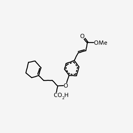 COC(=O)C=Cc1ccc(OC(CCC2=CCCCC2)C(=O)O)cc1